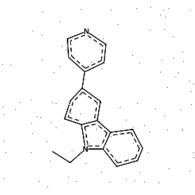 CCn1c2ccccc2c2cc(-c3ccncc3)ccc21